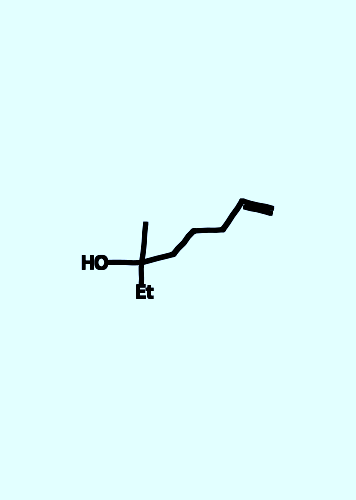 C=CCCCC(C)(O)CC